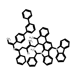 C/C=C(/N=C(\C/C(CC)=C(\N)CC1c2c(cc(-n3c4ccccc4c4ccccc43)c3c4ccccc4n(C(C)c4ccccc4)c23)-c2ccccc2C1C)C1=CC=CCC1)c1ccc(-c2cccc(-c3ccccc3)c2)cc1